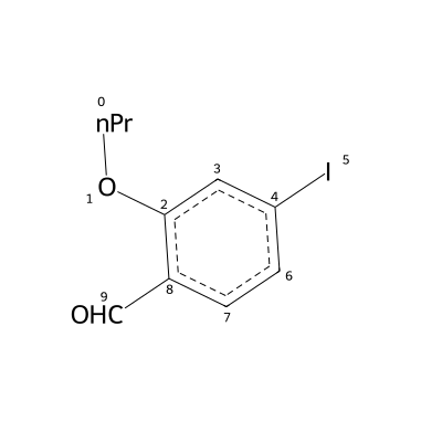 CCCOc1cc(I)ccc1C=O